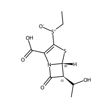 CC[S+]([O-])C1=C(C(=O)O)N2C(=O)[C@H](C(C)O)[C@H]2S1